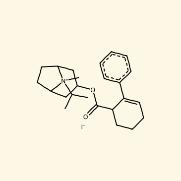 CC(C)[N+]1(C)C2CCC1CC(OC(=O)C1CCCC=C1c1ccccc1)C2.[I-]